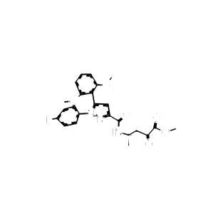 COC(=O)C(=O)C[C@@H](C)NC(=O)c1cc(-c2c(OC)cccc2OC)n(-c2ccc(F)cc2)n1